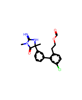 CN1C(=N)NC(C)(c2cccc(-c3cc(Cl)ccc3CCOC=O)c2)C1=O